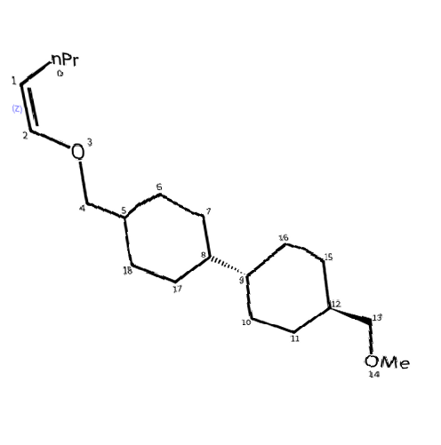 CCC/C=C\OCC1CCC([C@H]2CC[C@H](COC)CC2)CC1